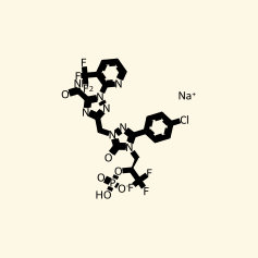 NC(=O)c1nc(Cn2nc(-c3ccc(Cl)cc3)n(C[C@H](OP(=O)([O-])O)C(F)(F)F)c2=O)nn1-c1ncccc1C(F)(F)F.[Na+]